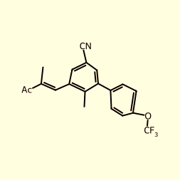 CC(=O)/C(C)=C/c1cc(C#N)cc(-c2ccc(OC(F)(F)F)cc2)c1C